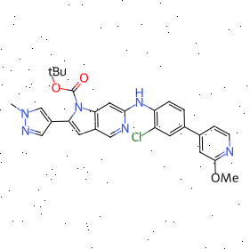 COc1cc(-c2ccc(Nc3cc4c(cn3)cc(-c3cnn(C)c3)n4C(=O)OC(C)(C)C)c(Cl)c2)ccn1